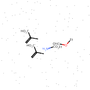 C=C(C)C(=O)O.C=C(C)C(=O)O.CCOC(N)=O.CCOC=O